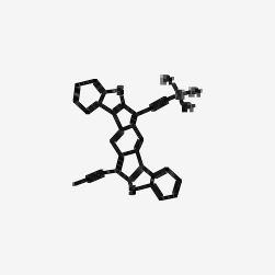 CC#CC1=c2cc3c(cc2-c2c1sc1ccccc21)=C(C#C[Si](C(C)C)(C(C)C)C(C)C)c1sc2ccccc2c1-3